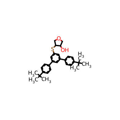 CC(C)(C)c1ccc(-c2cc(SC3COCC3O)cc(-c3ccc(C(C)(C)C)cc3)c2)cc1